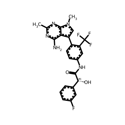 Cc1nc(N)c2c(-c3ccc(NC(=O)[C@H](O)c4cccc(F)c4)cc3C(F)(F)F)cn(C)c2n1